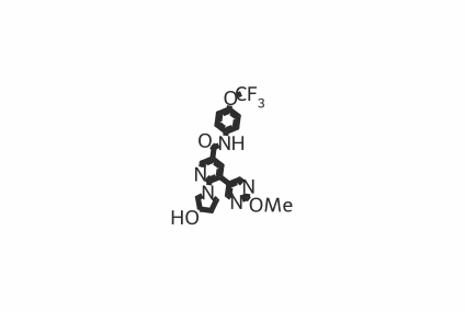 COc1ncc(-c2cc(C(=O)Nc3ccc(OC(F)(F)F)cc3)cnc2N2CCC(O)C2)cn1